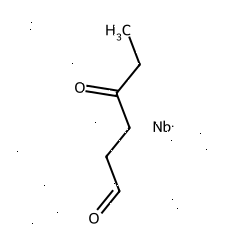 CCC(=O)CCC=O.[Nb]